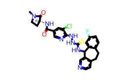 CN1CC[C@@H](NC(=O)c2cnc(NNC(=S)NC3c4cnccc4CCc4ccc(F)cc43)c(Cl)c2)C1=O